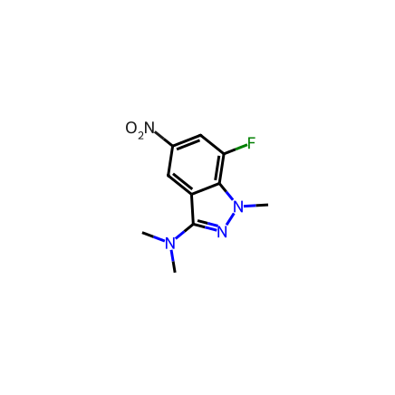 CN(C)c1nn(C)c2c(F)cc([N+](=O)[O-])cc12